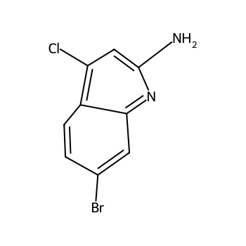 Nc1cc(Cl)c2ccc(Br)cc2n1